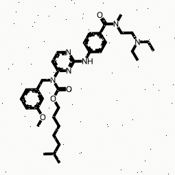 CCN(CC)CCN(C)C(=O)c1ccc(Nc2nccc(N(Cc3cccc(OC)c3)C(=O)OCCCCCC(C)C)n2)cc1